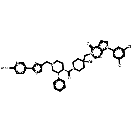 COc1ccc(-c2ncc(CN3CC[C@@H](C(=O)N4CCC(O)(Cn5cnc6c(ccn6-c6cc(Cl)cc(Cl)c6)c5=O)CC4)[C@H](c4ccccc4)C3)s2)cn1